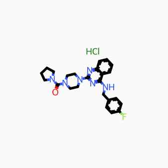 Cl.O=C(N1CCCC1)N1CCN(c2nc(NCc3ccc(F)cc3)c3ccccc3n2)CC1